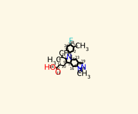 Cc1cc(-n2c(C(C)C)c(CCC(=O)O)c3cc4c(cnn4C)cc32)ccc1F